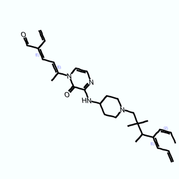 C=C/C=C(\C=C/C)C(C)C(C)(C)CN1CCC(Nc2nccn(/C(C)=C/C=C(\C=C)C=O)c2=O)CC1